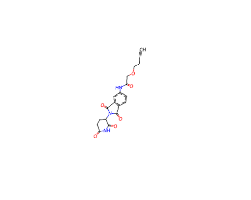 C#CCCOCC(=O)Nc1ccc2c(c1)C(=O)N(C1CCC(=O)NC1=O)C2=O